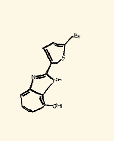 Oc1cccc2nc(-c3ccc(Br)s3)[nH]c12